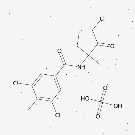 CCC(C)(NC(=O)c1cc(Cl)c(C)c(Cl)c1)C(=O)CCl.O=S(=O)(O)O